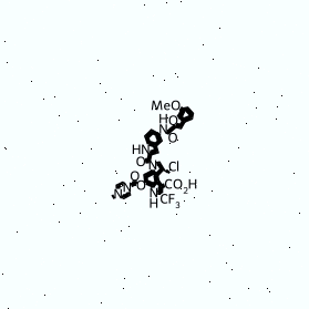 COc1cccc2cc(C(=O)Nc3ccc4[nH]c(C(=O)N5C[C@@H](CCl)c6c5cc(OC(=O)N5CCN(C)CC5)c5[nH]c(C(F)(F)F)c(C(=O)O)c65)cc4c3)oc12